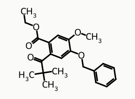 CCOC(=O)c1cc(OC)c(OCc2ccccc2)cc1C(=O)C(C)(C)C